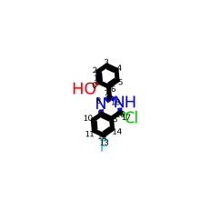 Oc1ccccc1C1=Nc2ccc(F)cc2C(Cl)N1